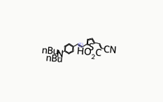 CCCCN(CCCC)c1ccc(/C=C/c2ccc(C=C(C#N)C(=O)O)s2)cc1